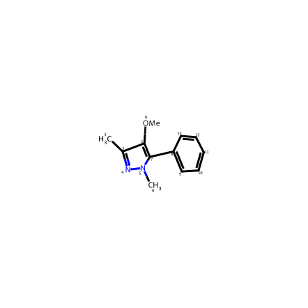 COc1c(C)nn(C)c1-c1ccccc1